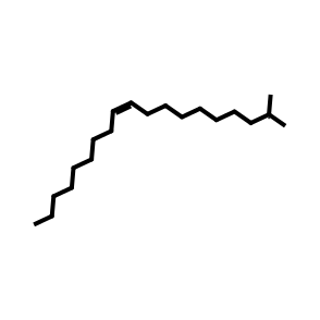 CCCCCCCC/C=C\CCCCCCC[C](C)C